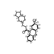 O=C(CCN1CCN2CCCC2C1)N1c2ccccc2Sc2ccc(C(F)(F)F)cc21